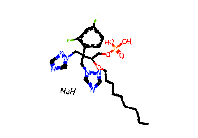 CCCCCCCCCOC(COP(=O)(O)O)C(Cn1cncn1)(Cn1cncn1)c1ccc(F)cc1F.[NaH]